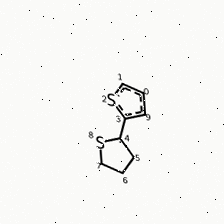 c1csc([C]2CCCS2)c1